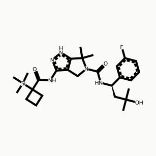 CC(C)(O)C[C@@H](NC(=O)N1Cc2c(NC(=O)C3([Si](C)(C)C)CCC3)n[nH]c2C1(C)C)c1cccc(F)c1